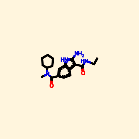 CCNC(=O)c1c(N)[nH]c2cc(C(=O)N(C)C3CCCCC3)ccc12